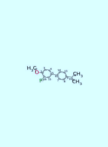 COc1ccc(-c2ccc(C(C)C)cc2)cc1F